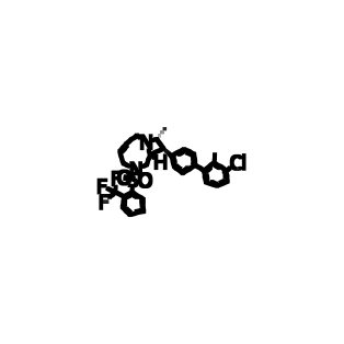 Cc1c(Cl)cccc1-c1ccc([C@@H]2[C@@H](C)N3C/C=C\CN(S(=O)(=O)c4ccccc4C(F)(F)F)C[C@@H]23)cc1